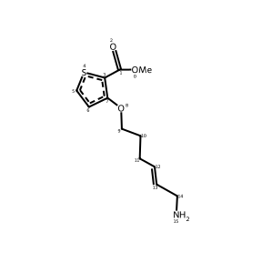 COC(=O)c1sccc1OCCCC=CCN